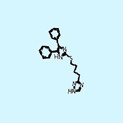 c1ccc(-c2nc(SCCCCc3nc[nH]n3)[nH]c2-c2ccccc2)cc1